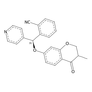 CC1COc2cc(O[C@@H](c3ccncc3)c3ccccc3C#N)ccc2C1=O